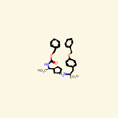 N[C@@H](Cc1ccc(OCc2ccccc2)cc1)C(=O)O.O=C(N[C@H](C(=O)O)C1CCCC1)OCc1ccccc1